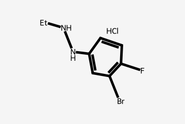 CCNNc1ccc(F)c(Br)c1.Cl